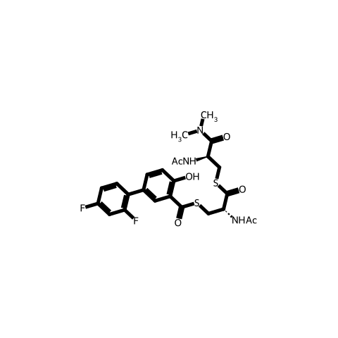 CC(=O)N[C@H](CSC(=O)c1cc(-c2ccc(F)cc2F)ccc1O)C(=O)SC[C@@H](NC(C)=O)C(=O)N(C)C